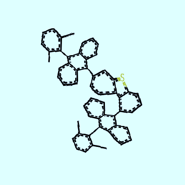 Cc1cccc(C)c1-c1c2ccccc2c(-c2ccc3c(c2)sc2cccc(-c4c5ccccc5c(-c5c(C)cccc5C)c5ccccc45)c23)c2ccccc12